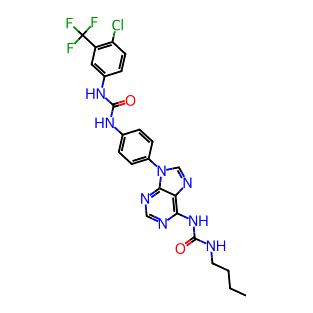 CCCCNC(=O)Nc1ncnc2c1ncn2-c1ccc(NC(=O)Nc2ccc(Cl)c(C(F)(F)F)c2)cc1